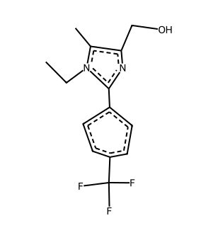 CCn1c(-c2ccc(C(F)(F)F)cc2)nc(CO)c1C